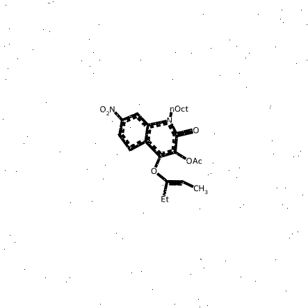 CC=C(CC)Oc1c(OC(C)=O)c(=O)n(CCCCCCCC)c2cc([N+](=O)[O-])ccc12